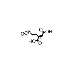 O=C=NCC/C(=C\C(=O)O)C(=O)O